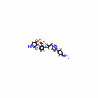 Cn1c(=O)n(C2C(=O)CCNC2=O)c2cccc(N3CC(CN4CCN(C5CCC(N)CC5)CC4)C3)c21